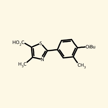 Cc1cc(-c2nc(C)c(C(=O)O)s2)ccc1OCC(C)C